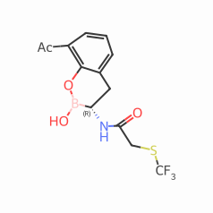 CC(=O)c1cccc2c1OB(O)[C@@H](NC(=O)CSC(F)(F)F)C2